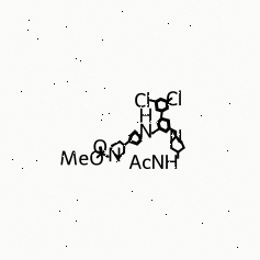 COC(=O)CN1CCC(c2ccc(NCc3cc(CN4CCC(CNC(C)=O)CC4)cc(-c4cc(Cl)cc(Cl)c4)c3)cc2)CC1